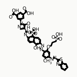 Cc1cc(N=Nc2ccc3c(S(=O)(=O)O)c(N=Nc4cnn(-c5cc(C(=O)O)cc(C(=O)O)c5)c4O)ccc3c2O)c(OCCCS(=O)(=O)O)cc1N=Nc1nc2ccccc2s1